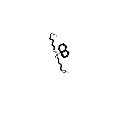 CCCCCO[SiH2]OCCCCC.c1ccc2ccccc2c1